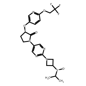 CC(C)[S+]([O-])C1CN(c2ncc(N3CC[C@@H](Oc4ccc(OCC(F)(F)F)nc4)C3=O)cn2)C1